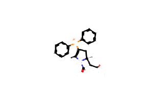 C[C@@H](O)[C@H]1C(=O)N2C(C(=O)O)=C(P(=O)(c3ccccc3)c3ccccc3)C[C@H]12